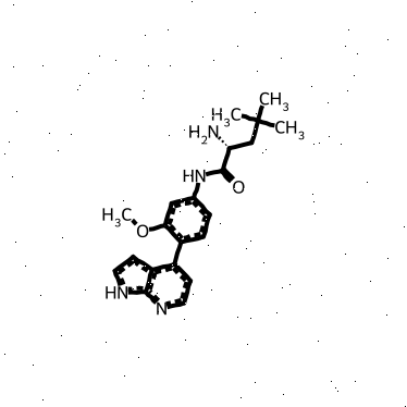 COc1cc(NC(=O)[C@H](N)CC(C)(C)C)ccc1-c1ccnc2[nH]ccc12